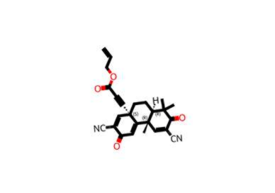 C=CCOC(=O)C#C[C@@]12C=C(C#N)C(=O)C=C1[C@@]1(C)C=C(C#N)C(=O)C(C)(C)[C@@H]1CC2